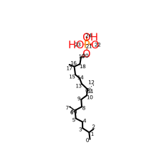 CC(C)CCC[C@@H](C)CCC[C@@H](C)CCCC(C)CCOP(=O)(O)O